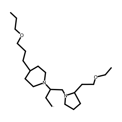 [CH2]CC(CN1CCCC1CCOCC)N1CCC(CCCOCCC)CC1